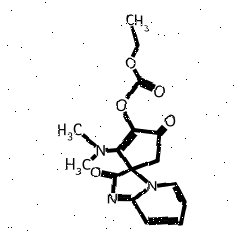 CCOC(=O)OC1=C(N(C)C)C2(CC1=O)C(=O)N=C1C=CC=CN12